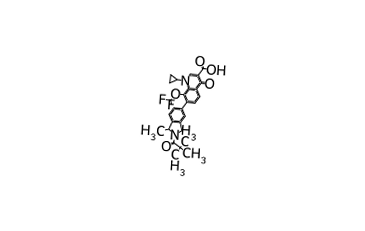 CC1c2ccc(-c3ccc4c(=O)c(C(=O)O)cn(C5CC5)c4c3OC(F)F)cc2CN1C(=O)C(C)(C)C